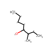 CCCCC([O])C(C)CC